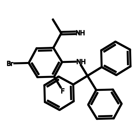 CC(=N)c1cc(Br)cc(F)c1NC(c1ccccc1)(c1ccccc1)c1ccccc1